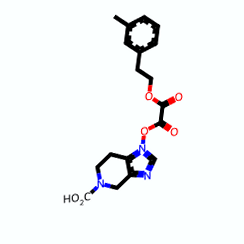 Cc1cccc(CCOC(=O)C(=O)On2cnc3c2CCN(C(=O)O)C3)c1